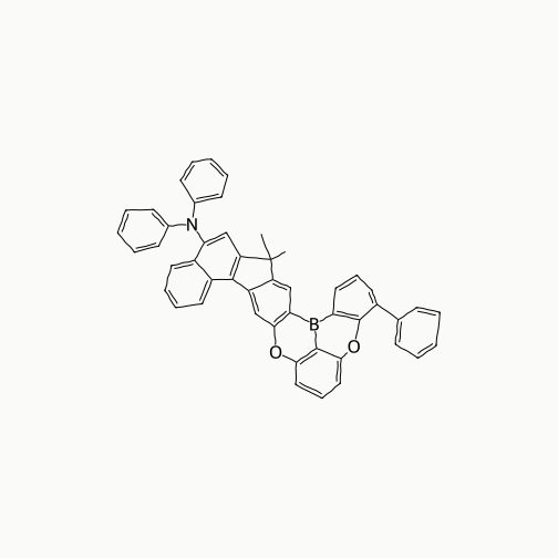 CC1(C)c2cc3c(cc2-c2c1cc(N(c1ccccc1)c1ccccc1)c1ccccc21)Oc1cccc2c1B3c1cccc(-c3ccccc3)c1O2